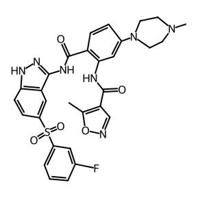 Cc1oncc1C(=O)Nc1cc(N2CCN(C)CC2)ccc1C(=O)Nc1n[nH]c2ccc(S(=O)(=O)c3cccc(F)c3)cc12